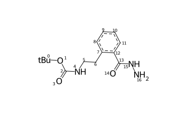 CC(C)(C)OC(=O)NCCc1ccccc1C(=O)NN